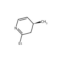 CCC1=NC=C[C@@H](C)C1